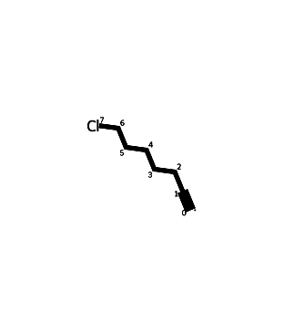 [C]#CCCCCCCl